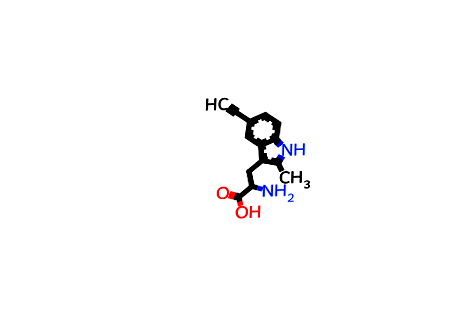 C#Cc1ccc2[nH]c(C)c(CC(N)C(=O)O)c2c1